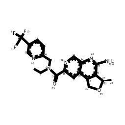 CCN(Cc1ccc(C(F)(F)F)cn1)C(=O)c1cc2c3c(c(N)nc2cn1)[C@@H](C)OC3